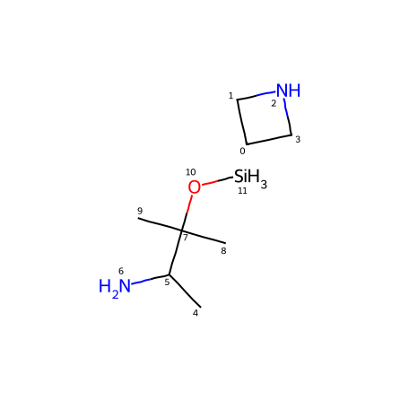 C1CNC1.CC(N)C(C)(C)O[SiH3]